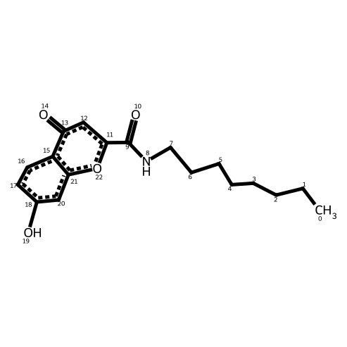 CCCCCCCCNC(=O)c1cc(=O)c2ccc(O)cc2o1